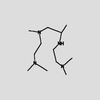 CC(CN(C)CCN(C)C)NCCN(C)C